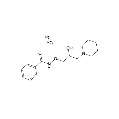 Cl.Cl.O=C(NOCC(O)CN1CCCCC1)c1ccccc1